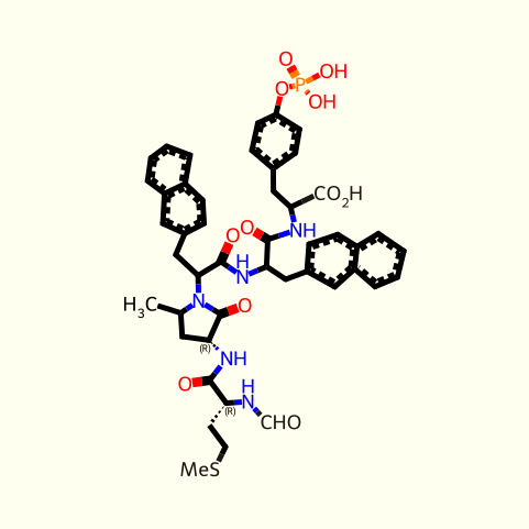 CSCC[C@@H](NC=O)C(=O)N[C@@H]1CC(C)N(C(Cc2ccc3ccccc3c2)C(=O)NC(Cc2ccc3ccccc3c2)C(=O)NC(Cc2ccc(OP(=O)(O)O)cc2)C(=O)O)C1=O